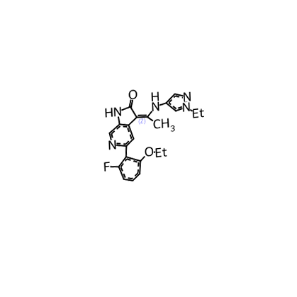 CCOc1cccc(F)c1-c1cc2c(cn1)NC(=O)/C2=C(/C)Nc1cnn(CC)c1